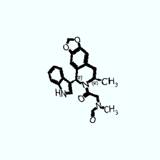 C[C@@H]1Cc2cc3c(cc2[C@H](c2c[nH]c4ccccc24)N1C(=O)CN(C)C=O)OCO3